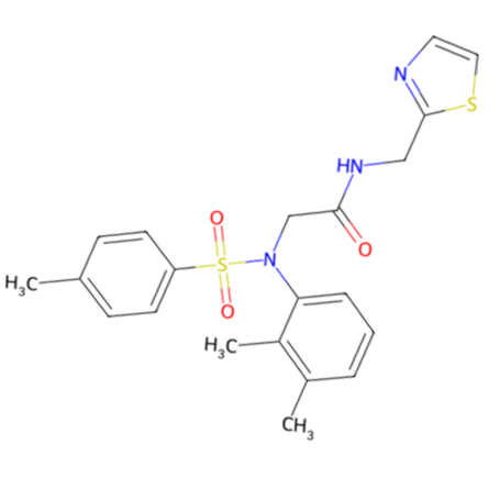 Cc1ccc(S(=O)(=O)N(CC(=O)NCc2nccs2)c2cccc(C)c2C)cc1